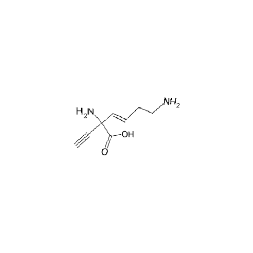 C#CC(N)(C=CCCN)C(=O)O